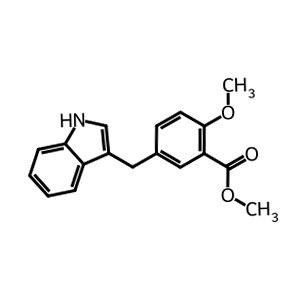 COC(=O)c1cc(Cc2c[nH]c3ccccc23)ccc1OC